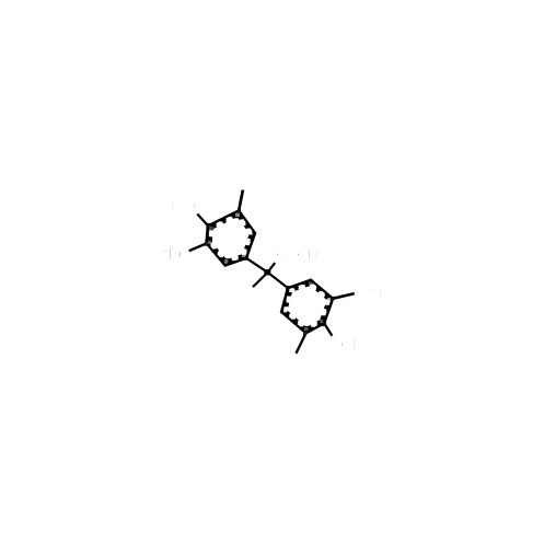 Cc1cc(C(C)(C(=O)O)c2cc(C)c(O)c(C(C)(C)C)c2)cc(C(C)(C)C)c1O